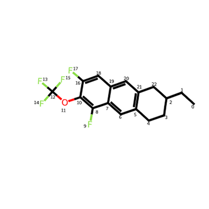 CCC1CCc2cc3c(F)c(OC(F)(F)F)c(F)cc3cc2C1